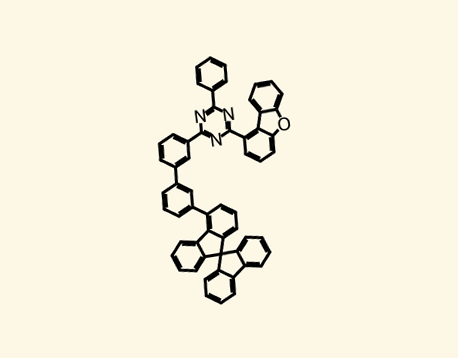 c1ccc(-c2nc(-c3cccc(-c4cccc(-c5cccc6c5-c5ccccc5C65c6ccccc6-c6ccccc65)c4)c3)nc(-c3cccc4oc5ccccc5c34)n2)cc1